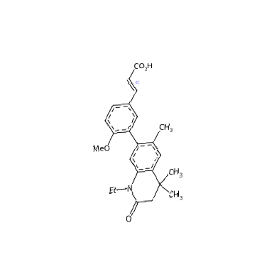 CCN1C(=O)CC(C)(C)c2cc(C)c(-c3cc(/C=C/C(=O)O)ccc3OC)cc21